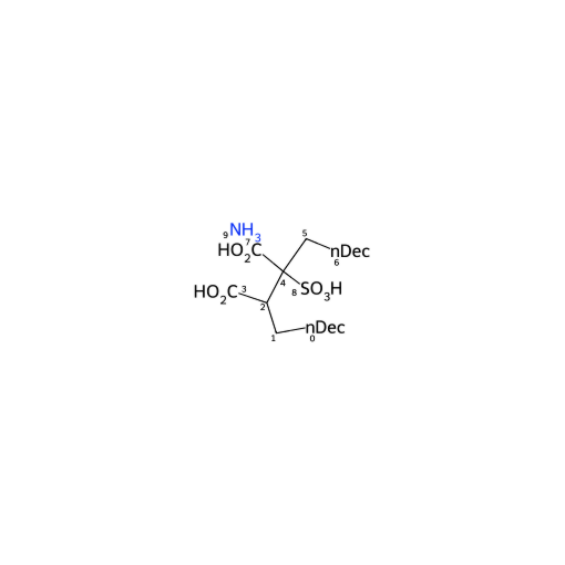 CCCCCCCCCCCC(C(=O)O)C(CCCCCCCCCCC)(C(=O)O)S(=O)(=O)O.N